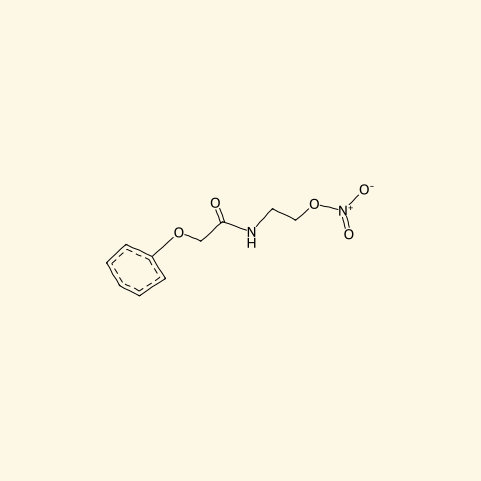 O=C(COc1ccccc1)NCCO[N+](=O)[O-]